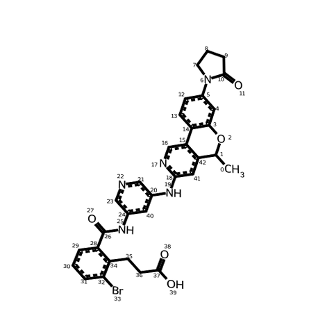 CC1Oc2cc(N3CCCC3=O)ccc2-c2cnc(Nc3cncc(NC(=O)c4cccc(Br)c4CCC(=O)O)c3)cc21